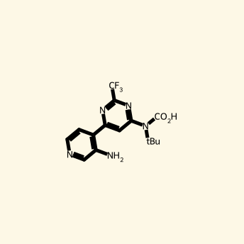 CC(C)(C)N(C(=O)O)c1cc(-c2ccncc2N)nc(C(F)(F)F)n1